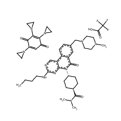 CCCCNc1ncc2c3ccc(CN4CCN(C)CC4)cc3c(=O)n([C@H]3CC[C@H](C(=O)N(C)C)CC3)c2n1.O=C(O)C(F)(F)F.O=C1C=C(N2CC2)C(=O)C(N2CC2)=C1N1CC1